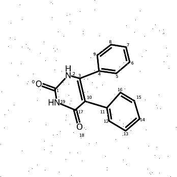 O=c1[nH]c(-c2ccccc2)c(-c2ccccc2)c(=O)[nH]1